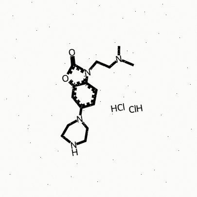 CN(C)CCn1c(=O)oc2cc(N3CCNCC3)ccc21.Cl.Cl